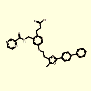 Cc1oc(-c2ccc(-c3ccccc3)cc2)nc1CCOc1ccc(CCC(=O)O)c(CNC(=O)c2cnccn2)c1